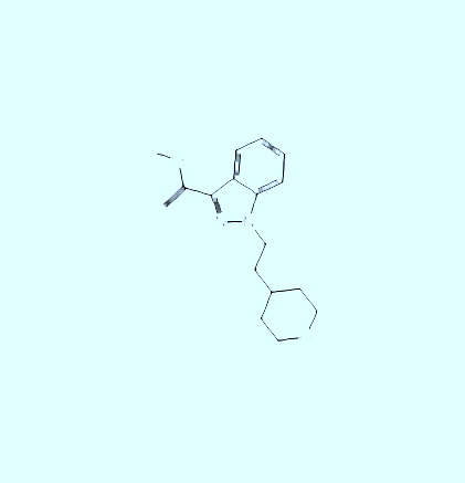 C=C(OF)c1nn(CCC2CCOCC2)c2ccccc12